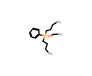 CCCC[PH](CCCC)(OCC)c1ccccc1